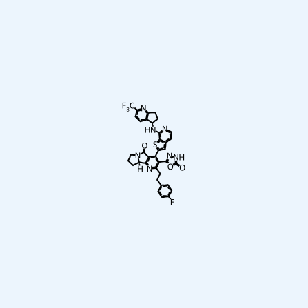 O=C1c2c(nc(CCc3ccc(F)cc3)c(-c3n[nH]c(=O)o3)c2-c2cc3ccnc(N[C@@H]4CCc5nc(C(F)(F)F)ccc54)c3s2)[C@@H]2CCCN12